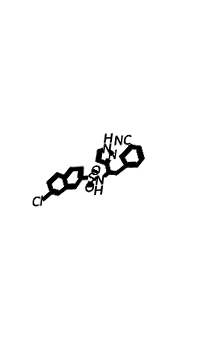 N#Cc1cccc(CC(NS(=O)(=O)c2ccc3ccc(Cl)cc3c2)c2cc[nH]n2)c1